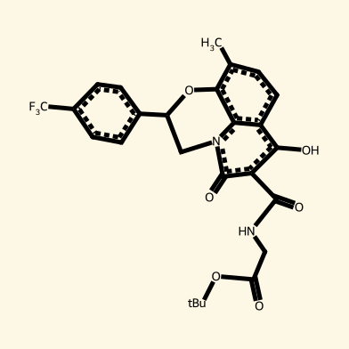 Cc1ccc2c(O)c(C(=O)NCC(=O)OC(C)(C)C)c(=O)n3c2c1OC(c1ccc(C(F)(F)F)cc1)C3